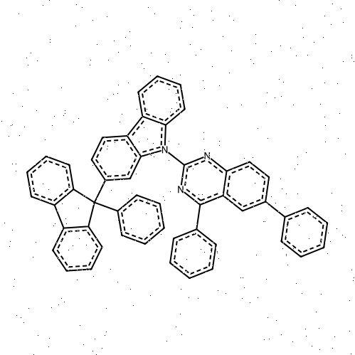 c1ccc(-c2ccc3nc(-n4c5ccccc5c5ccc(C6(c7ccccc7)c7ccccc7-c7ccccc76)cc54)nc(-c4ccccc4)c3c2)cc1